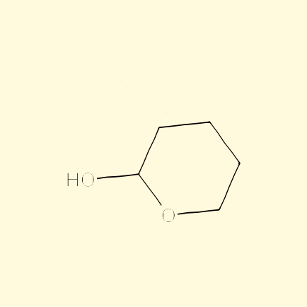 C[C@@H]1CCCOC1O